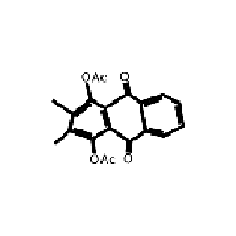 CC(=O)Oc1c(C)c(C)c(OC(C)=O)c2c1C(=O)c1ccccc1C2=O